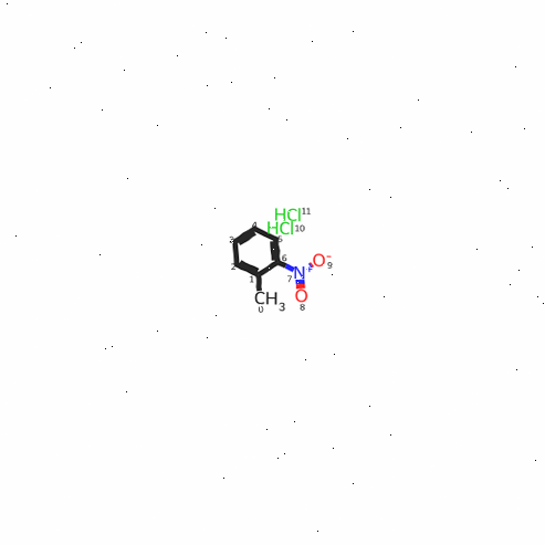 Cc1ccccc1[N+](=O)[O-].Cl.Cl